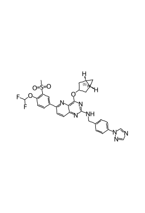 CS(=O)(=O)c1cc(-c2ccc3nc(NCc4ccc(-n5cncn5)cc4)nc(OC4C[C@@H]5C[C@@H]5C4)c3n2)ccc1OC(F)F